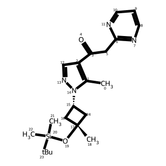 Cc1c(C(=O)Cc2ncccn2)cnn1[C@H]1C[C@@](C)(O[Si](C)(C)C(C)(C)C)C1